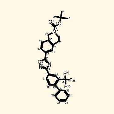 CC(C)(C)OC(=O)N1CCc2cc(-c3nc(-c4ccc(-c5ccccc5)c(C(F)(F)F)c4)no3)ccc2C1